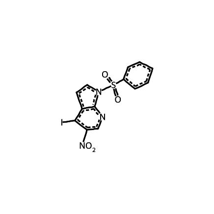 O=[N+]([O-])c1cnc2c(ccn2S(=O)(=O)c2ccccc2)c1I